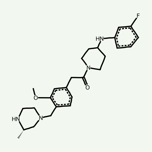 COc1cc(CC(=O)N2CCC(Nc3cccc(F)c3)CC2)ccc1CN1CCN[C@@H](C)C1